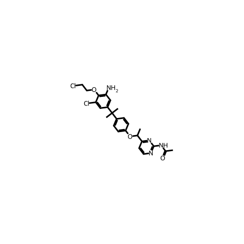 CC(=O)Nc1nccc(C(C)Oc2ccc(C(C)(C)c3cc(N)c(OCCCl)c(Cl)c3)cc2)n1